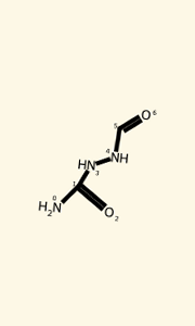 NC(=O)NNC=O